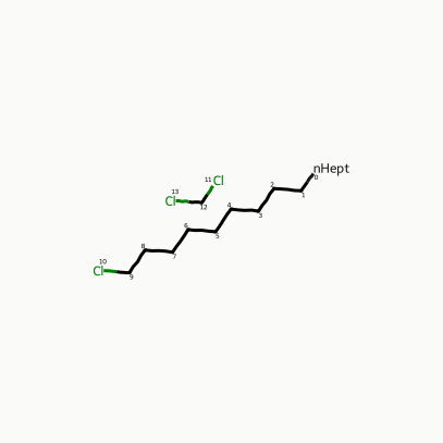 CCCCCCCCCCCCCCCCCl.ClCCl